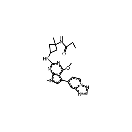 CCC(=O)NC1(C)CC(Nc2nc(OC)c3c(-c4ccn5ncnc5c4)c[nH]c3n2)C1